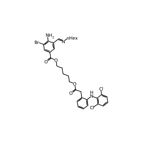 CCCCCCN=Cc1cc(C(=O)OCCCCCOC(=O)Cc2ccccc2Nc2c(Cl)cccc2Cl)cc(Br)c1N